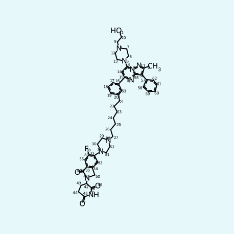 Cc1nn2c(N3CCN(CCO)CC3)cc(-c3cccc(CCCCCCCN4CCN(c5cc6c(cc5F)C(=O)N(C5CCC(=O)NC5=O)C6)CC4)c3)nc2c1-c1ccccc1